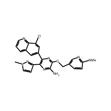 CNc1ccc(COc2nc(-c3cc(Cl)c4ncccc4c3)c(-c3ccn(C)n3)nc2N)cn1